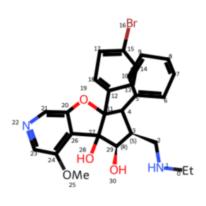 CCNC[C@@H]1C(c2ccccc2)C2(c3ccc(Br)cc3)Oc3cncc(OC)c3C2(O)[C@@H]1O